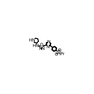 CC(C)S(=O)(=O)c1ccc(-c2cncc(-c3nnc(NC4CCCNC4)o3)n2)cc1